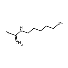 C=C(NCCCCCC(C)C)C(C)C